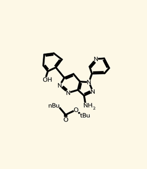 CCCCC(=O)OC(C)(C)C.Nc1nn(-c2cccnc2)c2cc(-c3ccccc3O)nnc12